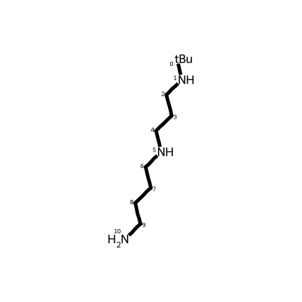 CC(C)(C)NCCCNCCCCN